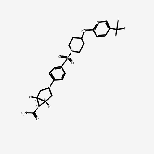 NC(=O)[C@H]1[C@@H]2CN(c3ccc(S(=O)(=O)N4CCC(Nc5ccc(C(F)(F)F)cn5)CC4)cc3)C[C@@H]21